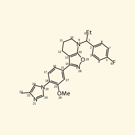 CCC(c1ccc(F)cc1)N1CCCc2c(-c3ccc(-n4cnc(C)c4)c(OC)c3)noc21